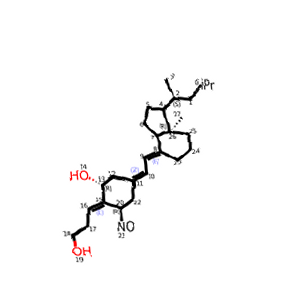 CC(C)C[C@H](C)C1CCC2/C(=C/C=C3\C[C@@H](O)/C(=C/CCO)[C@H](N=O)C3)CCC[C@@]21C